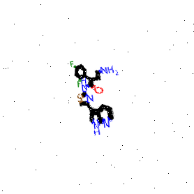 NCCC(C(=O)Nc1nc(-c2c[nH]c3ncccc23)cs1)c1ccc(F)cc1F